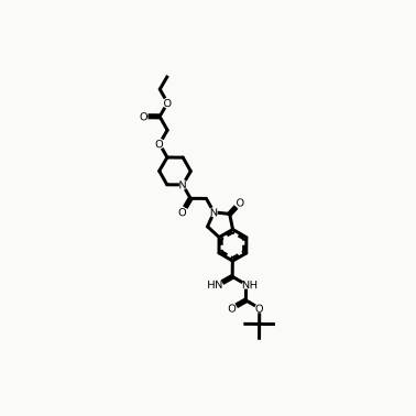 CCOC(=O)COC1CCN(C(=O)CN2Cc3cc(C(=N)NC(=O)OC(C)(C)C)ccc3C2=O)CC1